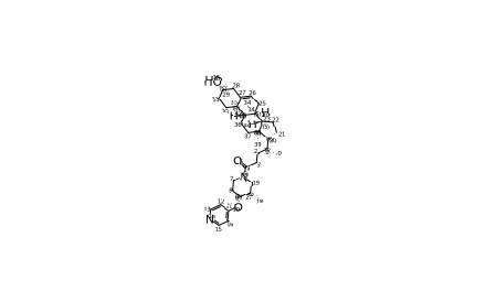 C[C@H](CCC(=O)N1CC[C@@H](Oc2ccncc2)[C@@H](C)C1)[C@H]1CC[C@H]2[C@@H]3CC=C4C[C@@H](O)CC[C@]4(C)[C@H]3CC[C@]12C